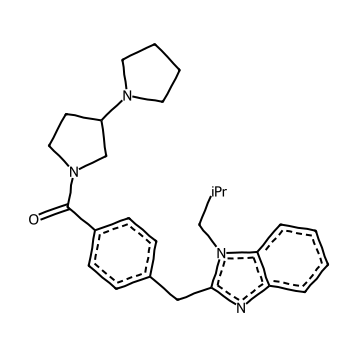 CC(C)Cn1c(Cc2ccc(C(=O)N3CCC(N4CCCC4)C3)cc2)nc2ccccc21